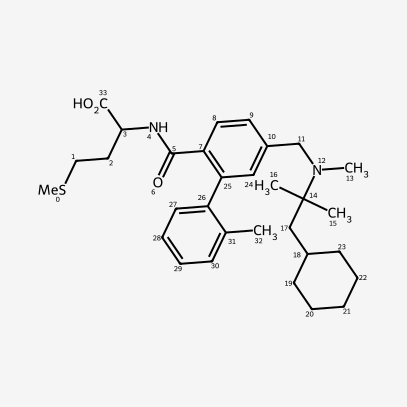 CSCCC(NC(=O)c1ccc(CN(C)C(C)(C)CC2CCCCC2)cc1-c1ccccc1C)C(=O)O